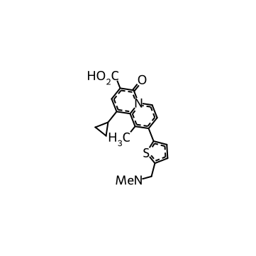 CNCc1ccc(-c2ccn3c(=O)c(C(=O)O)cc(C4CC4)c3c2C)s1